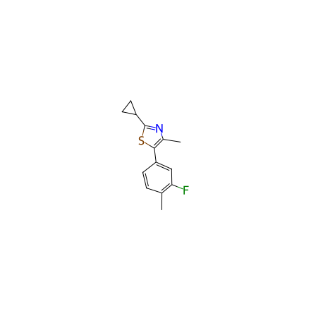 Cc1ccc(-c2sc(C3CC3)nc2C)cc1F